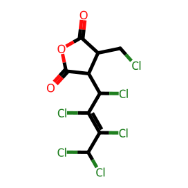 O=C1OC(=O)C(C(Cl)C(Cl)=C(Cl)C(Cl)Cl)C1CCl